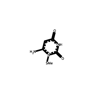 CSn1c(N)cc(=O)[nH]c1=O